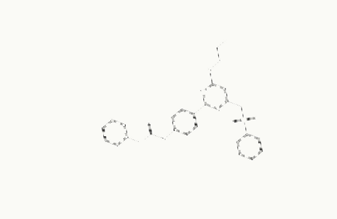 O=C(Nc1ccc(-c2nc(CS(=O)(=O)c3ccccc3)cc(NCCO)n2)cc1)Oc1ccccc1